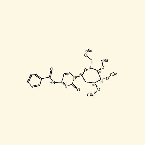 CCCCOC[C@H]1O[C@H](n2ccc(NC(=O)c3ccccc3)nc2=O)C[C@H](OCCCC)[C@@H](OCCCC)[C@@H]1OCCCC